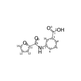 O=C(O)c1cccc(NC(=O)c2ccco2)c1